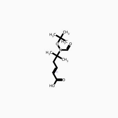 CC(C)(C)ON(C=O)C(C)(C)C/C=C/C(=O)O